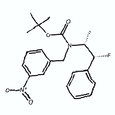 C[C@H]([C@H](F)c1ccccc1)N(Cc1cccc([N+](=O)[O-])c1)C(=O)OC(C)(C)C